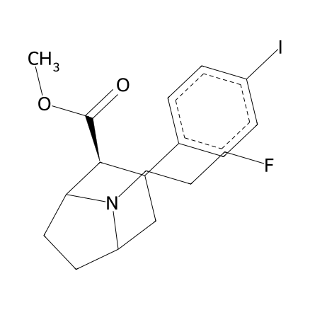 COC(=O)[C@H]1C(c2ccc(I)cc2)CC2CCC1N2CCCF